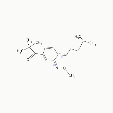 CO/N=C1/C=C(C(=O)C(C)(C)C)C=C/C1=C\CCC(C)C